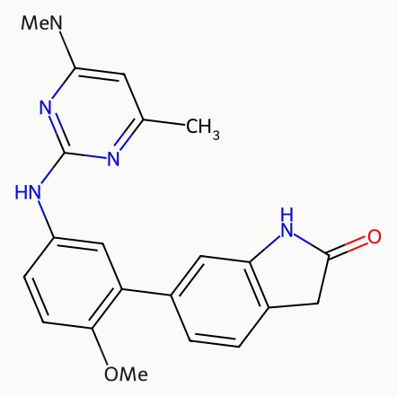 CNc1cc(C)nc(Nc2ccc(OC)c(-c3ccc4c(c3)NC(=O)C4)c2)n1